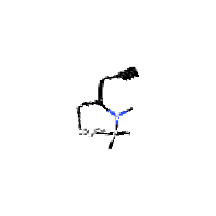 C#CCC(CC(=O)OCC)N(C)[Si](C)(C)C